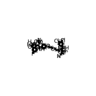 Cn1ncnc1[C@H]1c2n[nH]c(=O)c3cc(F)cc(c23)N[C@@H]1c1ccc(OCCOCCCOC(CC#N)(c2nc3cc(Cl)c(Cl)cc3[nH]2)C(F)(F)F)cc1